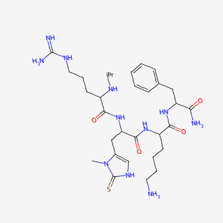 CC(C)NC(CCCNC(=N)N)C(=O)NC(Cc1c[nH]c(=S)n1C)C(=O)NC(CCCCN)C(=O)NC(Cc1ccccc1)C(N)=O